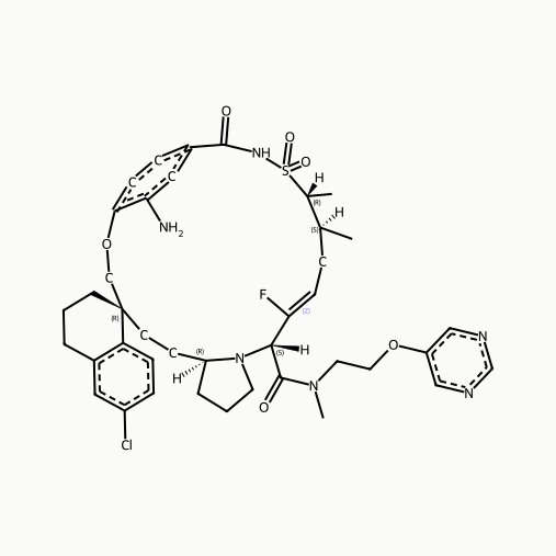 C[C@@H]1[C@@H](C)C/C=C(\F)[C@H](C(=O)N(C)CCOc2cncnc2)N2CCC[C@H]2CC[C@@]2(CCCc3cc(Cl)ccc32)COc2ccc(cc2N)C(=O)NS1(=O)=O